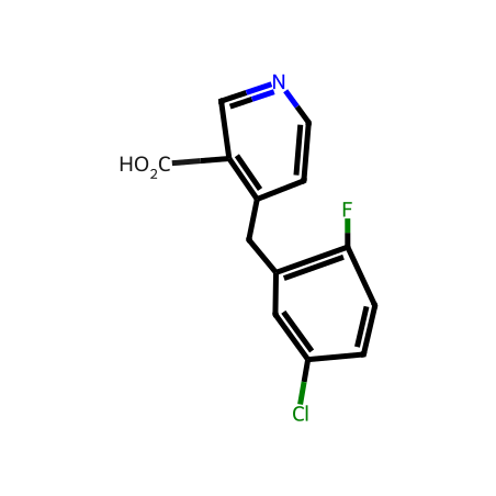 O=C(O)c1cnccc1Cc1cc(Cl)ccc1F